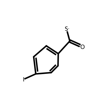 O=C([S])c1ccc(I)cc1